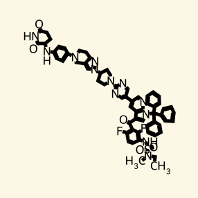 CCN(C)S(=O)(=O)Nc1ccc(F)c(C(=O)c2cn(C(c3ccccc3)(c3ccccc3)c3ccccc3)c3ncc(-c4cnc(N5CCC(n6cc7c(n6)CCN(c6ccc(NC8CCC(=O)NC8=O)cc6)C7)CC5)nc4)cc23)c1F